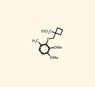 CCOC(=O)C1(COc2c(C)ccc(OC)c2OC)CCC1